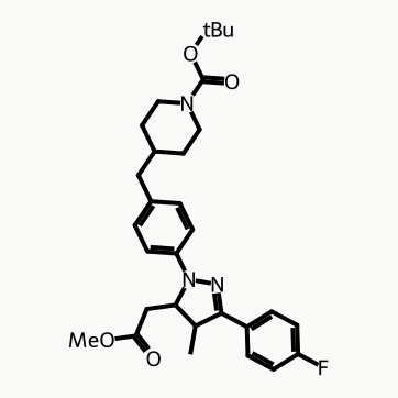 COC(=O)CC1C(C)C(c2ccc(F)cc2)=NN1c1ccc(CC2CCN(C(=O)OC(C)(C)C)CC2)cc1